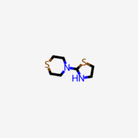 C1CSC(N2CCSCC2)N1